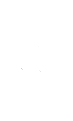 CCC(=O)Oc1c(C(=O)c2cc(OC)ccn2)[nH]c2ccc(Cl)cc12